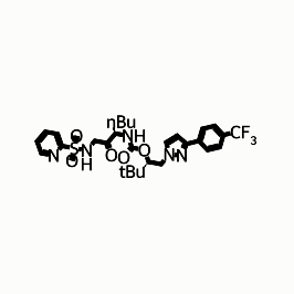 CCCC[C@H](NC(=O)O[C@H](Cn1ccc(-c2ccc(C(F)(F)F)cc2)n1)C(C)(C)C)C(=O)CNS(=O)(=O)c1ccccn1